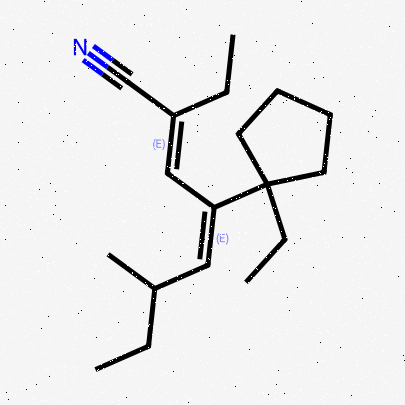 CC/C(C#N)=C\C(=C/C(C)CC)C1(CC)CCCC1